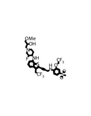 COCC(O)CN1CCC(Nc2cccc3c(CC(F)(F)F)c(C#CCNc4ccc(S(C)(=O)=O)cc4OCC(F)(F)F)sc23)C(F)C1